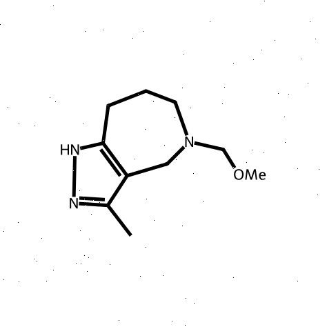 COCN1CCCc2[nH]nc(C)c2C1